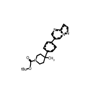 CC(C)(C)OC(=O)N1CCC(C)(c2ccc(-c3cnc4ccnn4c3)cc2)CC1